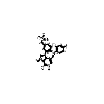 Cn1cc2c3c(c[nH]c(=O)c31)CN(c1ccc(F)cc1F)c1ccc(CS(C)(=O)=O)cc1-2